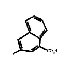 Cc1cc(C(=O)O)c2ccccc2c1